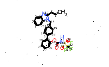 CCCc1nc2ccccc2n1Cc1ccc(-c2ccccc2OC(=O)NS(=O)(=O)C(F)(F)F)cc1